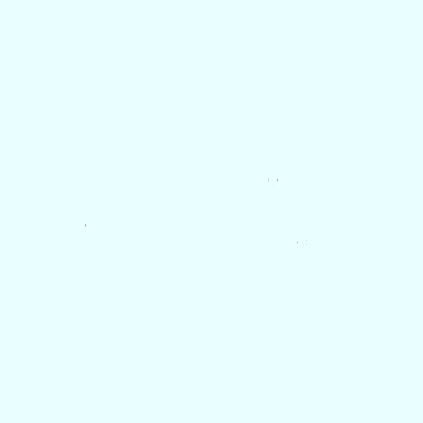 COC(=O)OCCCCl